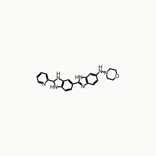 c1ccc(C2Nc3ccc(-c4nc5ccc(NN6CCOCC6)cc5[nH]4)cc3N2)nc1